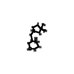 FC1(F)CCN(CC2COCCN2)C1